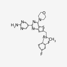 C[As](Cc1cc2nc(-c3cnc(N)nc3)nc(N3CCOCC3)c2s1)Cc1ccc(F)cc1F